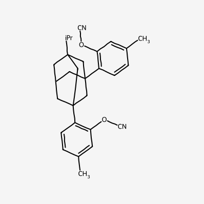 Cc1ccc(C23CC4CC(c5ccc(C)cc5OC#N)(C2)CC(C(C)C)(C4)C3)c(OC#N)c1